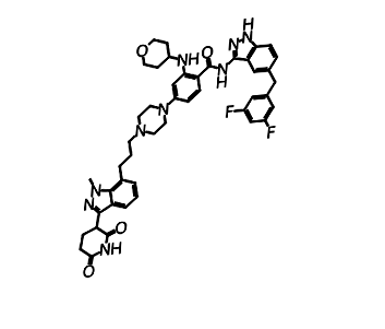 Cn1nc(C2CCC(=O)NC2=O)c2cccc(CCCN3CCN(c4ccc(C(=O)Nc5n[nH]c6ccc(Cc7cc(F)cc(F)c7)cc56)c(NC5CCOCC5)c4)CC3)c21